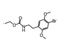 [CH2]COC(=O)NCCc1cc(OC)c(Br)cc1OC